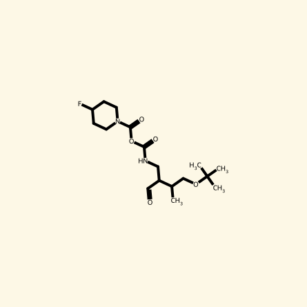 CC(COC(C)(C)C)C(C=O)CNC(=O)OC(=O)N1CCC(F)CC1